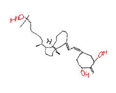 C=C1[C@H](O)CC(=C/C=C2\CCC[C@@H]3C([C@@H](C)CCCC(C)(C)O)CC[C@@]23C)C[C@H]1O